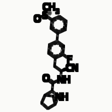 C[S+]([O-])c1cccc(-c2ccc(C[C@@H](C#N)NC(=O)C3NC4CCC3C4)c(F)c2)c1